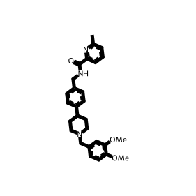 COc1ccc(CN2CCC(c3ccc(CNC(=O)c4cccc(C)n4)cc3)CC2)cc1OC